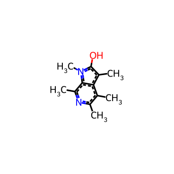 Cc1nc(C)c2c(c1C)c(C)c(O)n2C